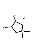 C[P+]1(C)CC(Cl)C(Cl)C1.[Cl-]